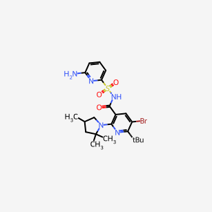 CC1CN(c2nc(C(C)(C)C)c(Br)cc2C(=O)NS(=O)(=O)c2cccc(N)n2)C(C)(C)C1